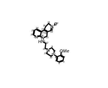 COc1ccccc1N1CCN(CCNN2CC3=C(CC[NH+]([O-])C3)c3cccnc32)CC1